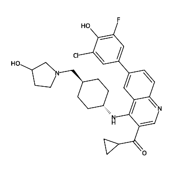 O=C(c1cnc2ccc(-c3cc(F)c(O)c(Cl)c3)cc2c1N[C@H]1CC[C@H](CN2CCC(O)C2)CC1)C1CC1